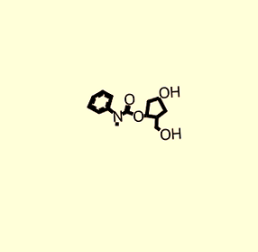 CN(C(=O)OC1CC(O)CC1CO)c1ccccc1